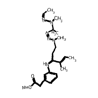 C/C=N\N(C)C(C)/N=N\N(C)CCC(Nc1cccc(CC(=O)OC)c1)/C(C)=C/C